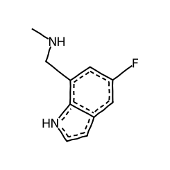 CNCc1cc(F)cc2cc[nH]c12